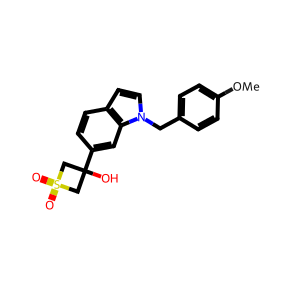 COc1ccc(Cn2ccc3ccc(C4(O)CS(=O)(=O)C4)cc32)cc1